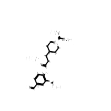 COc1cc(C=O)ccc1OC(=O)CCC1CCN(C(=N)N)CC1.Cl